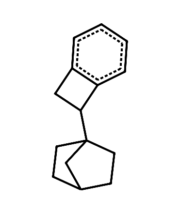 c1ccc2c(c1)CC2C12CCC(CC1)C2